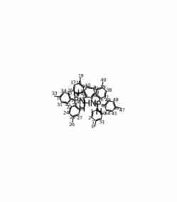 Cc1ccc([PH](Nc2ccccc2N[PH](c2ccc(C)cc2)(c2ccc(C)cc2)c2ccc(C)cc2)(c2ccc(C)cc2)c2ccc(C)cc2)cc1